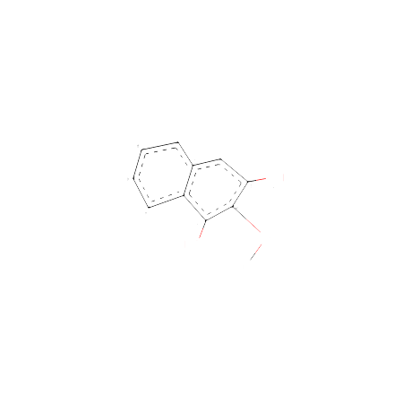 COc1c(O)cc2ccccc2c1O